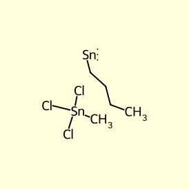 CCC[CH2][Sn].[CH3][Sn]([Cl])([Cl])[Cl]